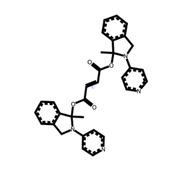 CC1(OC(=O)/C=C/C(=O)OC2(C)c3ccccc3CN2c2ccncc2)c2ccccc2CN1c1ccncc1